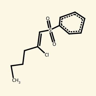 CCCCC(Cl)=CS(=O)(=O)c1ccccc1